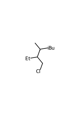 CCC(C)[C](C)C(CC)CCl